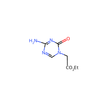 CCOC(=O)Cn1cnc(N)nc1=O